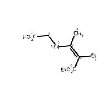 CCOC(=O)C(CC)=C(C)NCC(=O)O